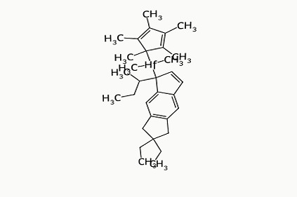 CCC(C)[C]1([Hf]([CH3])([CH3])[C]2(C)C(C)=C(C)C(C)=C2C)C=Cc2cc3c(cc21)CC(CC)(CC)C3